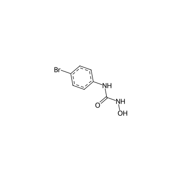 O=C(NO)Nc1ccc(Br)cc1